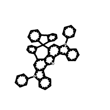 c1ccc(-n2c3ccccc3c3c4oc5c6c(cc7c5c5ccccc5n7-c5ccccc5)C5(c7ccccc7-c7ccccc75)c5ccccc5-c(cc32)c46)cc1